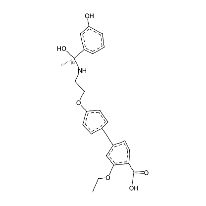 CCOc1cc(-c2ccc(OCCN[C@@](C)(O)c3cccc(O)c3)cc2)ccc1C(=O)O